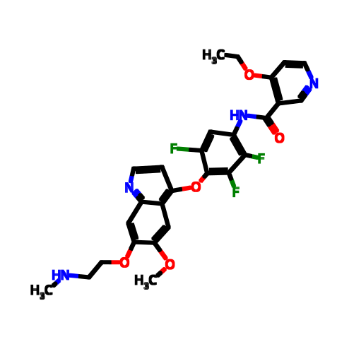 CCOc1ccncc1C(=O)Nc1cc(F)c(Oc2ccnc3cc(OCCNC)c(OC)cc23)c(F)c1F